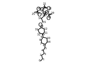 CCCCCCC1CCC(C2CCC(OCCC[Si](OC(C)=O)(OC(C)=O)OC(C)=O)CC2)CC1